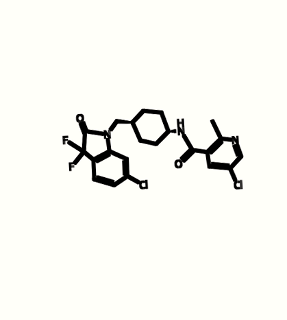 Cc1ncc(Cl)cc1C(=O)N[C@H]1CC[C@H](CN2C(=O)C(F)(F)c3ccc(Cl)cc32)CC1